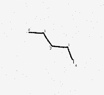 [CH2]C[CH]CI